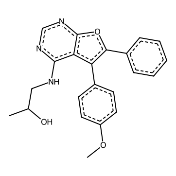 COc1ccc(-c2c(-c3ccccc3)oc3ncnc(NCC(C)O)c23)cc1